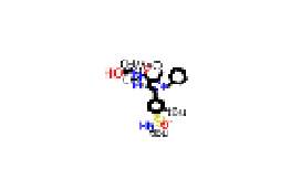 COCc1c(C(=O)NCC(C)(C)O)cc(-c2ccc([S+]([O-])NC(C)(C)C)c(C(C)(C)C)c2)n1CC1CCCCC1